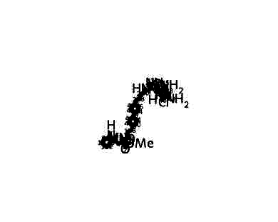 COC(=O)C(Cc1c[nH]c2ccccc12)NC(=O)CCc1ccc(-c2ccc(CCCCNC(=N)NC(=O)c3nc(Cl)c(N)nc3N)cc2)cc1